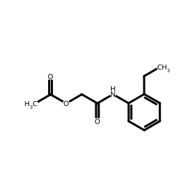 CCc1ccccc1NC(=O)COC(C)=O